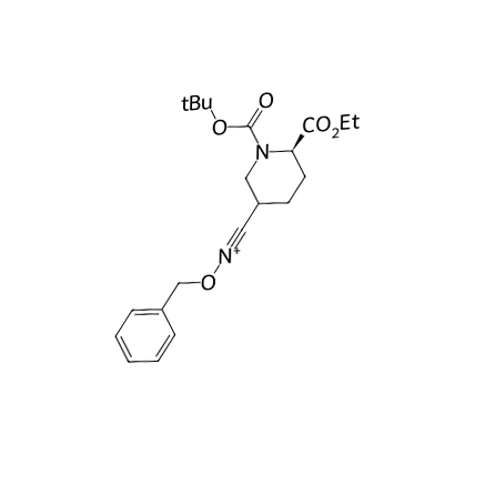 CCOC(=O)[C@H]1CCC(C#[N+]OCc2ccccc2)CN1C(=O)OC(C)(C)C